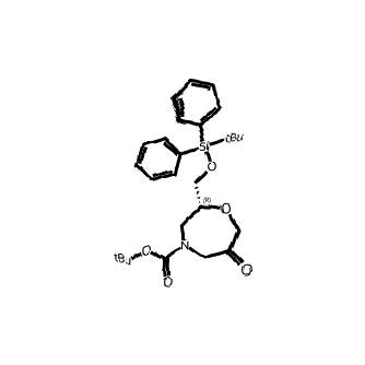 CC(C)(C)OC(=O)N1CC(=O)CO[C@@H](CO[Si](c2ccccc2)(c2ccccc2)C(C)(C)C)C1